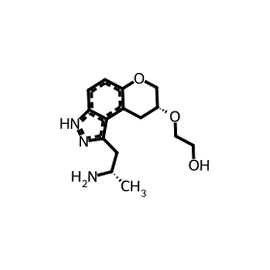 C[C@H](N)Cc1n[nH]c2ccc3c(c12)C[C@@H](OCCO)CO3